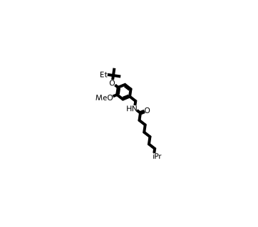 CCC(C)(C)Oc1ccc(CNC(=O)CCCCCCC(C)C)cc1OC